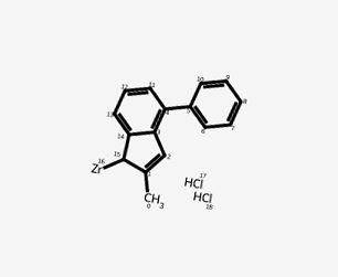 CC1=Cc2c(-c3ccccc3)cccc2[CH]1[Zr].Cl.Cl